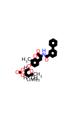 CO[C@@H]1[C@H]2OC(=O)O[C@H]2[C@H](Oc2ccc3cc(NC(=O)c4cccc(-c5ccccc5)c4)c(=O)oc3c2C)OC1(C)C